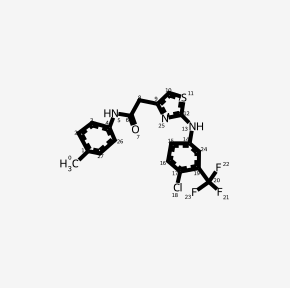 Cc1ccc(NC(=O)Cc2csc(Nc3ccc(Cl)c(C(F)(F)F)c3)n2)cc1